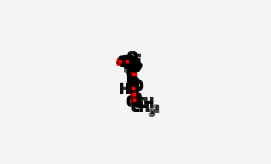 C=C(C)C(=O)OCCNC(=O)OCC(I)COc1ccc(F)c2c(=O)c3ccccc3sc12